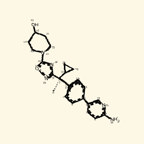 C[C@](c1ccc(-c2ccc(N)nc2)cc1)(c1noc(N2CCC(O)CC2)n1)C1CC1